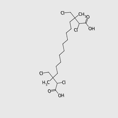 CC(CCl)(CCCCCCCCCCC(C)(CCl)C(Cl)C(=O)O)C(Cl)C(=O)O